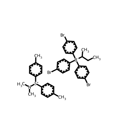 CCC(C)[B-](c1ccc(Br)cc1)(c1ccc(Br)cc1)c1ccc(Br)cc1.Cc1ccc([S+](c2ccc(C)cc2)N(C)C)cc1